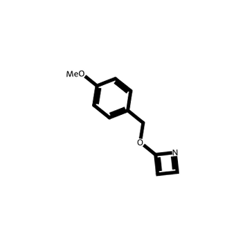 COc1ccc(COC2=CC=N2)cc1